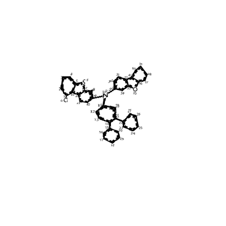 Clc1cccc2sc3cc(N(c4ccc(-c5ccccc5)c(-c5ccccc5)c4)c4ccc5c(c4)oc4ccccc45)ccc3c12